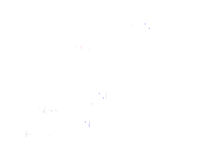 CCCCCCCCCCCC[N+](C)(CCCS(=O)(=O)O)CC(=O)Nc1ccc2c(=O)c(O)c(-c3ccc(N4CCCCC4)s3)oc2c1